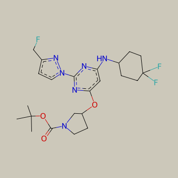 CC(C)(C)OC(=O)N1CCC(Oc2cc(NC3CCC(F)(F)CC3)nc(-n3ccc(CF)n3)n2)C1